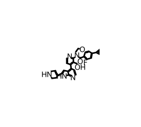 O=C1c2c(F)cc(C3CC3)cc2OCCN1c1nccc(-c2ccnc3[nH]c(C4=CCNCC4)cc23)c1CO